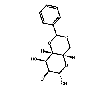 O[C@@H]1[C@H](O)[C@@H](O)O[C@@H]2COC(c3ccccc3)O[C@@H]12